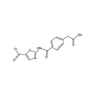 O=C(O)Cc1ccc(C(=O)Nc2ncc([N+](=O)[O-])s2)cc1